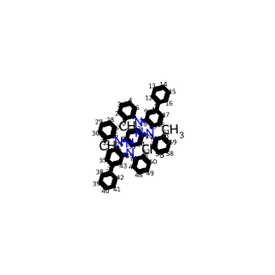 Cc1ccccc1Nc1cc(-c2ccccc2)ccc1N(c1ccc(N(c2ccccc2C)c2ccc(-c3ccccc3)cc2Nc2ccccc2C)cc1)c1ccccc1C